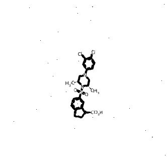 C[C@@H]1CN(c2ccc(Cl)c(Cl)c2)C[C@H](C)N1S(=O)(=O)c1ccc2c(c1)C(C(=O)O)CC2